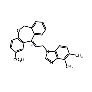 Cc1ccc2c(ncn2C/C=C2\c3ccccc3COc3ccc(C(=O)O)cc32)c1C